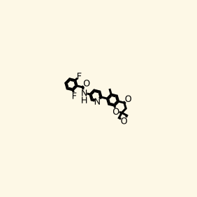 Cc1cc2c(cc1-c1ccc(NC(=O)c3c(F)cccc3F)cn1)OC1(COC1)CC2=O